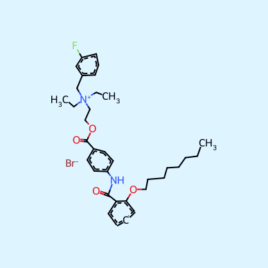 CCCCCCCCOc1ccccc1C(=O)Nc1ccc(C(=O)OCC[N+](CC)(CC)Cc2cccc(F)c2)cc1.[Br-]